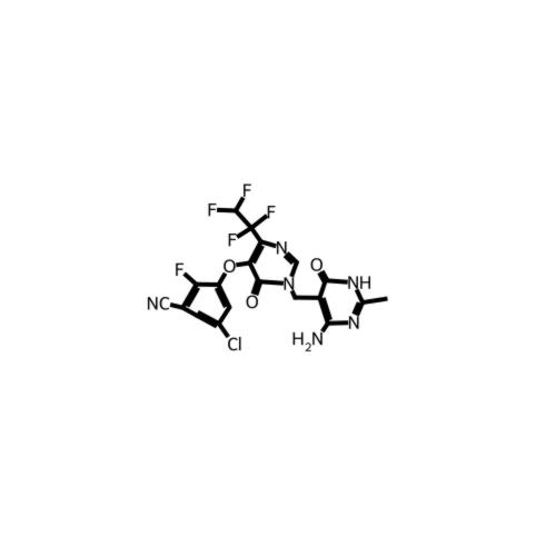 Cc1nc(N)c(Cn2cnc(C(F)(F)C(F)F)c(Oc3cc(Cl)cc(C#N)c3F)c2=O)c(=O)[nH]1